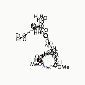 CCC(CC)C(=O)OCCCCCC(=O)N[C@H](C(=O)N[C@@H](CCCNC(N)=O)C(=O)Nc1ccc(COC(=O)N(C)CCC(=O)N(C)[C@@H](C)C(=O)O[C@H]2CC(=O)N(C)c3cc(cc(OC)c3Cl)C/C(C)=C/C=C/[C@@H](OC)[C@@]3(O)C[C@H](OC(=O)N3)[C@@H](C)[C@@H]3O[C@@]23C)cc1)C(C)C